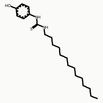 CCCCCCCCCCCCCCNC(=S)Nc1ccc(O)cc1